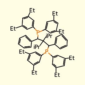 CCc1cc(CC)cc(P(c2cc(CC)cc(CC)c2)C(c2ccccc2)C(C(C)C)(C(C)C)C(c2ccccc2)P(c2cc(CC)cc(CC)c2)c2cc(CC)cc(CC)c2)c1